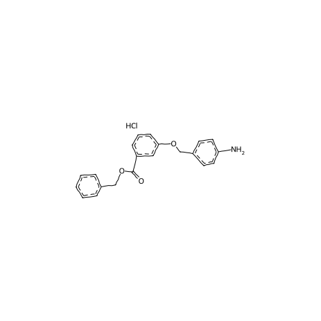 Cl.Nc1ccc(COc2cccc(C(=O)OCc3ccccc3)c2)cc1